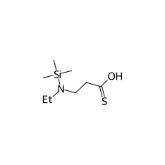 CCN(CCC(O)=S)[Si](C)(C)C